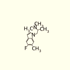 Cc1cc2c(ccn2CC(C)N(C)C)cc1F